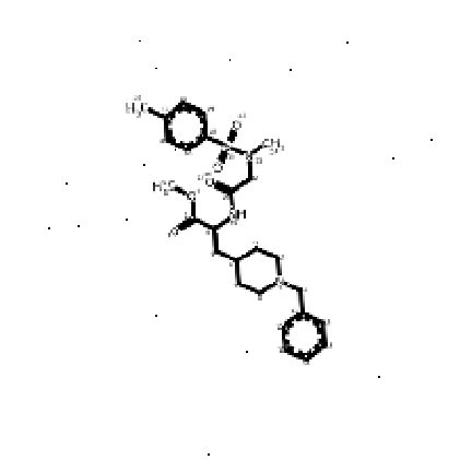 COC(=O)C(CC1CCN(Cc2ccccc2)CC1)NC(=O)CN(C)S(=O)(=O)c1ccc(C)cc1